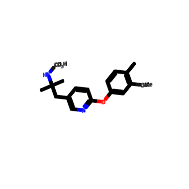 COc1cc(Oc2ccc(CC(C)(C)NC(=O)O)cn2)ccc1C